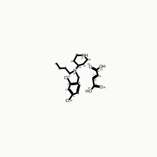 CCCCN(Cc1ccc(Cl)cc1Cl)C1CCNCC1.O=C(O)/C=C/C(=O)O